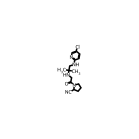 CC(C)(CNc1ccc(Cl)cn1)NCC(=O)N1CCCC1C#N